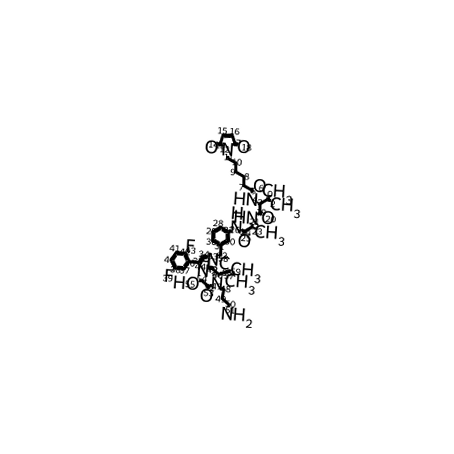 CC(C)[C@H](NC(=O)CCCCCN1C(=O)C=CC1=O)C(=O)N[C@@H](C)C(=O)Nc1cccc(Cn2cc(-c3cc(F)ccc3F)nc2[C@H](N(CCCN)C(=O)CO)C(C)(C)C)c1